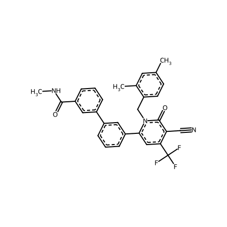 CNC(=O)c1cccc(-c2cccc(-c3cc(C(F)(F)F)c(C#N)c(=O)n3Cc3ccc(C)cc3C)c2)c1